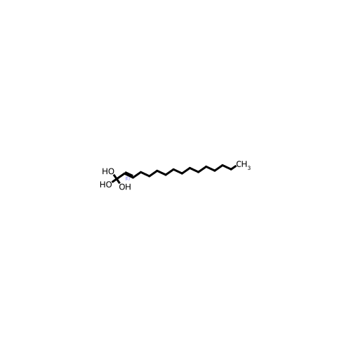 CCCCCCCCCCCCC/C=C/C(O)(O)O